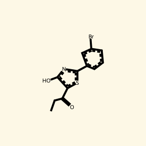 CCC(=O)c1sc(-c2cccc(Br)c2)nc1O